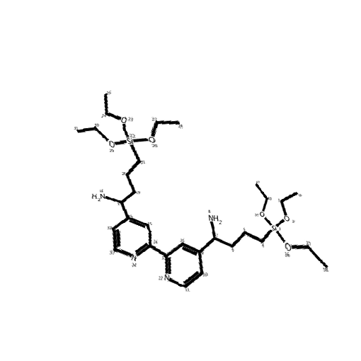 CCO[Si](CCCC(N)c1ccnc(-c2cc(C(N)CCC[Si](OCC)(OCC)OCC)ccn2)c1)(OCC)OCC